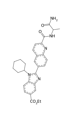 CCOC(=O)c1ccc2c(c1)nc(-c1ccc3nc(C(=O)NC(C)C(N)=O)ccc3c1)n2C1CCCCC1